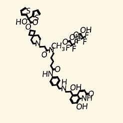 CN(CCCCC(=O)Nc1ccc(CNC[C@H](O)c2ccc(O)c3[nH]c(=O)ccc23)cc1)C(=O)CCN1CCC2(CC1)CC(OC(=O)C(O)(c1cccs1)c1cccs1)C2.O=C(O)C(F)(F)F.O=C(O)C(F)(F)F